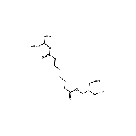 CCCCCCC(CCCCCC)OC(=O)CCCCCCC(=O)OCC(CO)CO